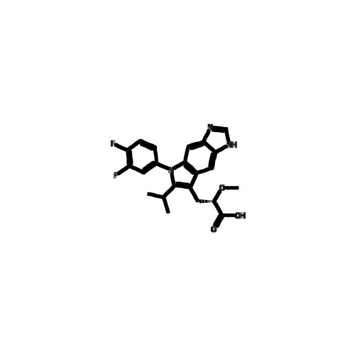 CO[C@@H](Cc1c(C(C)C)n(-c2ccc(F)c(F)c2)c2cc3nc[nH]c3cc12)C(=O)O